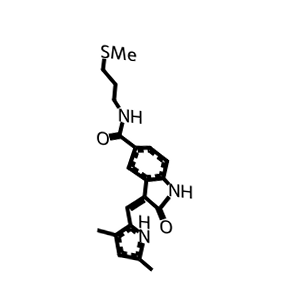 CSCCCNC(=O)c1ccc2c(c1)C(=Cc1[nH]c(C)cc1C)C(=O)N2